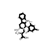 C[C@@H]1Cc2c([nH]c3ccccc23)[C@@H](c2c(F)cc(Br)cc2F)N1C[C@H](C)C(=O)O